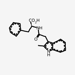 Cc1[nH]c2ccccc2c1CC(=O)N[C@@H](Cc1ccccc1)C(=O)O